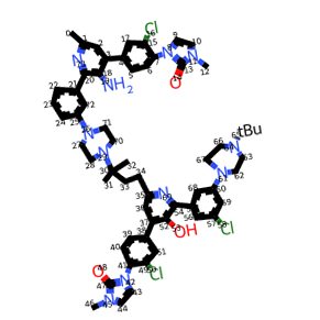 Cc1cc(-c2ccc(-n3ccn(C)c3=O)c(Cl)c2)c(N)c(-c2cccc(N3CCN(C(C)(C)CCc4cc(-c5ccc(-n6ccn(C)c6=O)c(Cl)c5)c(O)c(-c5cc(Cl)cc(N6CCN(C(C)(C)C)CC6)c5)n4)CC3)c2)n1